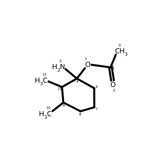 CC(=O)OC1(N)CCCC(C)C1C